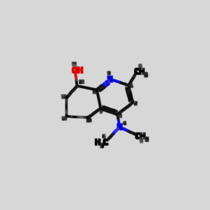 Cc1cc(N(C)C)c2c(n1)C(O)CCC2